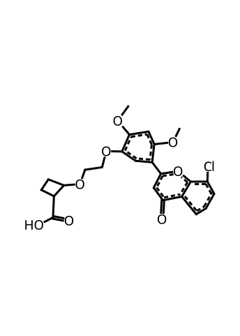 COc1cc(OC)c(-c2cc(=O)c3cccc(Cl)c3o2)cc1OCCOC1CCC1C(=O)O